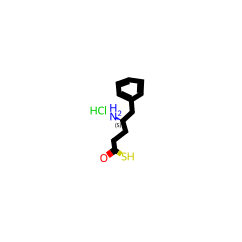 Cl.N[C@@H](CCC(=O)S)Cc1ccccc1